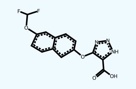 O=C(O)c1[nH]nnc1Oc1ccc2cc(OC(F)F)ccc2c1